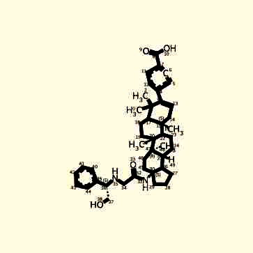 CC1(C)C(c2ccc(C(=O)O)cc2)=CC[C@@]2(C)C1CC[C@]1(C)C2CC[C@@H]2C3CCC[C@]3(NC(=O)CN[C@H](CO)c3ccccc3)CC[C@]21C